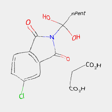 CCCCCC(O)(O)N1C(=O)c2ccc(Cl)cc2C1=O.O=C(O)CC(=O)O